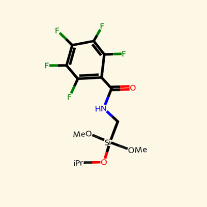 CO[Si](CNC(=O)c1c(F)c(F)c(F)c(F)c1F)(OC)OC(C)C